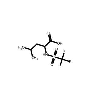 CC(C)CC(NS(=O)(=O)C(F)(F)F)C(=O)O